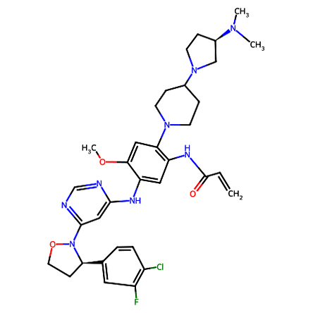 C=CC(=O)Nc1cc(Nc2cc(N3OCC[C@@H]3c3ccc(Cl)c(F)c3)ncn2)c(OC)cc1N1CCC(N2CC[C@@H](N(C)C)C2)CC1